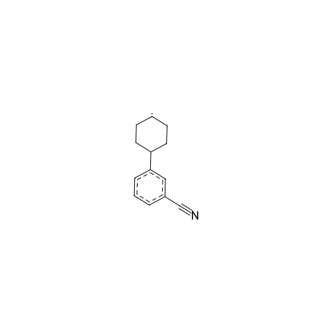 N#Cc1cccc(C2CC[CH]CC2)c1